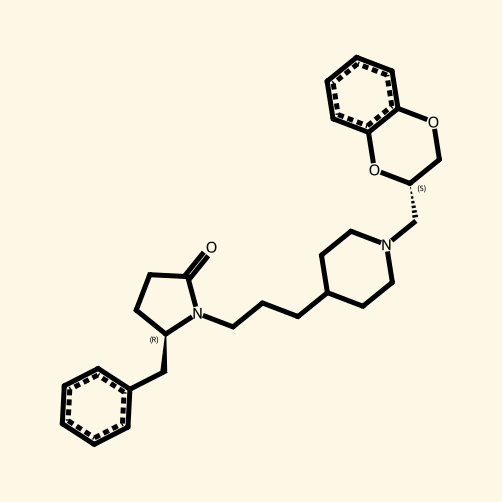 O=C1CC[C@H](Cc2ccccc2)N1CCCC1CCN(C[C@H]2COc3ccccc3O2)CC1